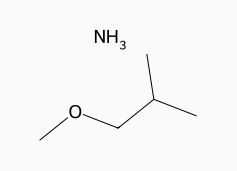 COCC(C)C.N